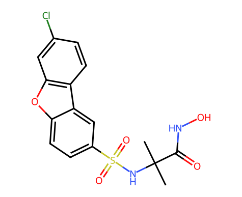 CC(C)(NS(=O)(=O)c1ccc2oc3cc(Cl)ccc3c2c1)C(=O)NO